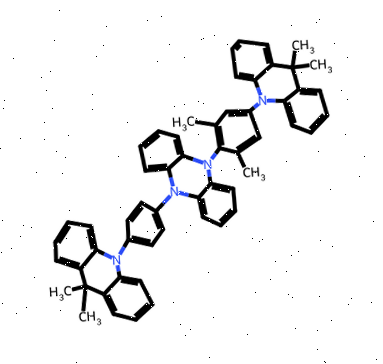 Cc1cc(N2c3ccccc3C(C)(C)c3ccccc32)cc(C)c1N1c2ccccc2N(c2ccc(N3c4ccccc4C(C)(C)c4ccccc43)cc2)c2ccccc21